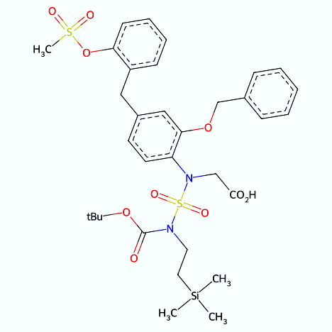 CC(C)(C)OC(=O)N(CC[Si](C)(C)C)S(=O)(=O)N(CC(=O)O)c1ccc(Cc2ccccc2OS(C)(=O)=O)cc1OCc1ccccc1